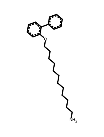 NCCCCCCCCCCCCOc1ccccc1-c1ccccc1